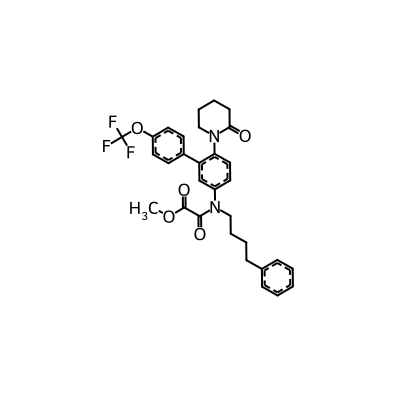 COC(=O)C(=O)N(CCCCc1ccccc1)c1ccc(N2CCCCC2=O)c(-c2ccc(OC(F)(F)F)cc2)c1